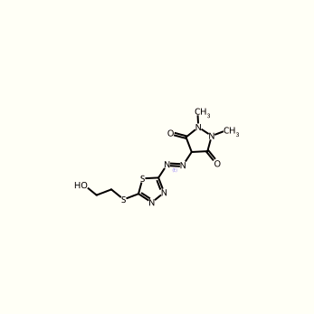 CN1C(=O)C(/N=N/c2nnc(SCCO)s2)C(=O)N1C